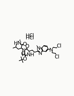 CNC(=O)C(CC(C)C)NC(=O)C(CCc1nc2cc(N(CCCl)CCCl)ccc2n1C)NC(=O)OC(C)(C)C.Cl.Cl